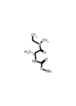 C[C@@H](NC(=O)OC(C)(C)C)C(=O)N(C)CC(F)(F)F